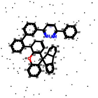 N=C(/C=C\C(=N)c1cccc(-c2ccccc2C2CC=CC3=C2Oc2ccccc2C32c3ccccc3C3C=CC=CC32)c1)c1ccccc1